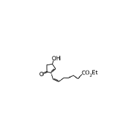 CCOC(=O)CCCC/C=C\C1=CC(O)CC1=O